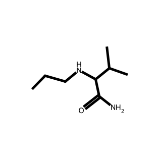 CCCNC(C(N)=O)C(C)C